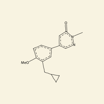 COc1ccc(-c2cnn(C)c(=O)c2)cc1CC1CC1